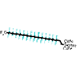 CO[Si](CCC(F)(F)C(F)(F)C(F)(F)C(F)(F)C(F)(F)C(F)(F)C(F)(F)C(F)(F)C(F)(F)C(F)(F)C(F)(F)C(F)(F)C(F)(F)C(F)(F)C(F)(F)F)(OC)OC